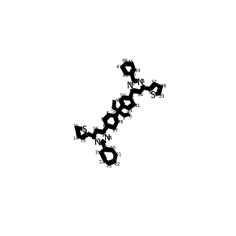 CCC(CC)(c1ccc(-c2cc(-c3cccs3)nc(C3=CCC=CC=C3)n2)cc1)c1ccc(-c2cc(-c3cccs3)nc(-c3ccccc3)n2)cc1